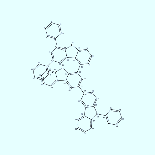 c1ccc(-c2cc(-c3ccccc3)c3oc4cccc(-c5nc(-c6ccc7c(c6)c6ccccc6n7-c6ccccc6)nc6c5sc5ccccc56)c4c3c2)cc1